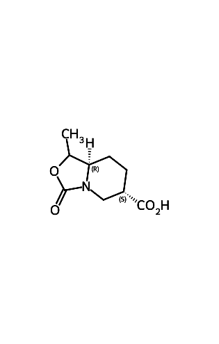 CC1OC(=O)N2C[C@@H](C(=O)O)CC[C@H]12